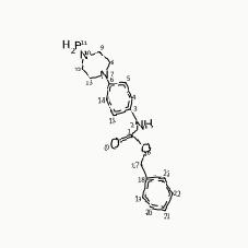 O=C(Nc1ccc(N2CCN(P)CC2)cc1)OCc1ccccc1